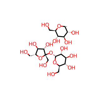 OC[C@H]1O[C@@](CO)(O[C@H]2O[C@H](CO)[C@@H](O)[C@H](O)[C@H]2O)[C@@H](O)[C@@H]1O.OC[C@H]1O[CH][C@H](O)[C@@H](O)[C@@H]1O